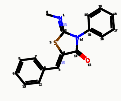 C/N=C1\S/C(=C\c2ccccc2)C(=O)N1c1ccccc1